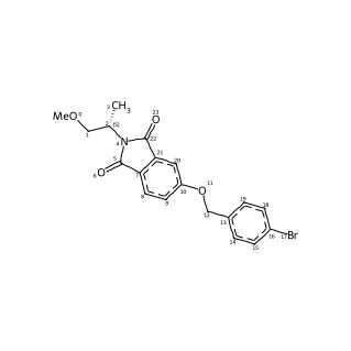 COC[C@H](C)N1C(=O)c2ccc(OCc3ccc(Br)cc3)cc2C1=O